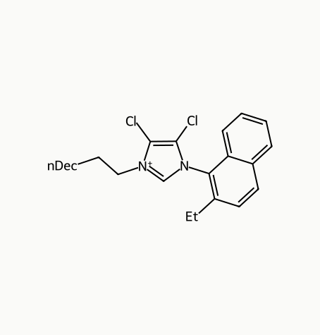 CCCCCCCCCCCC[n+]1cn(-c2c(CC)ccc3ccccc23)c(Cl)c1Cl